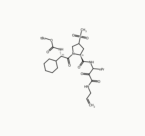 C=CCNC(=O)C(=O)C(CCC)NC(=O)[C@@H]1CC(S(C)(=O)=O)CN1C(=O)[C@@H](NC(=O)OC(C)(C)C)C1CCCCC1